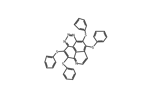 c1ccc(Sc2c(Sc3ccccc3)c3nnnc4c(Sc5ccccc5)c(Sc5ccccc5)c5nccc2c5c34)cc1